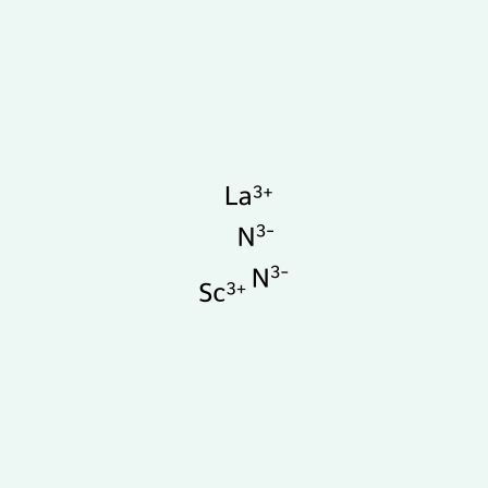 [La+3].[N-3].[N-3].[Sc+3]